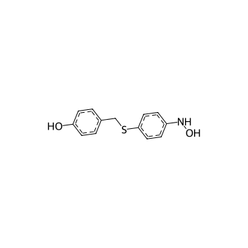 ONc1ccc(SCc2ccc(O)cc2)cc1